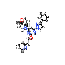 c1ccc(-c2ccn(-c3cc(N4CC[C@H]5OCC[C@H]54)nc(OCCc4ccccn4)n3)n2)cc1